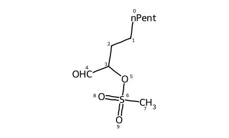 CCCCCCCC(C=O)OS(C)(=O)=O